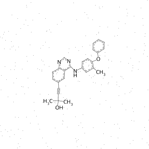 Cc1cc(Nc2ncnc3ccc(C#CC(C)(C)O)cc23)ccc1Oc1ccccc1